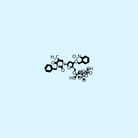 Cc1cn([C@H]2CC(OCc3ccccc3[N+](=O)[O-])[C@@H](COP(=O)(O)OP(=O)(O)OP(=O)(O)O)O2)c(=O)n(Cc2ccccc2)c1=O